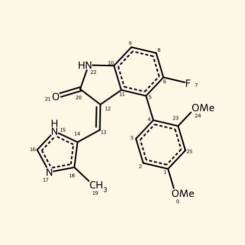 COc1ccc(-c2c(F)ccc3c2/C(=C/c2[nH]cnc2C)C(=O)N3)c(OC)c1